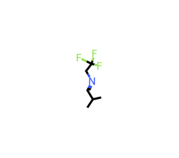 CC(C)C=NCC(F)(F)F